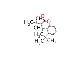 CC(C)(C)c1[c]c2c(C(C)(C)C)cccc2oc1=O